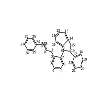 C(Cc1ccccc1C1c2ccccc2CC1c1ccccc1)=Nc1ccccc1